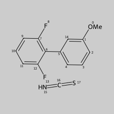 COc1cccc(-c2c(F)cccc2F)c1.N=C=S